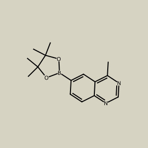 Cc1ncnc2ccc(B3OC(C)(C)C(C)(C)O3)cc12